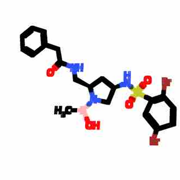 CB(O)N1C[C@H](NS(=O)(=O)c2cc(Br)ccc2Br)C[C@@H]1CNC(=O)Cc1ccccc1